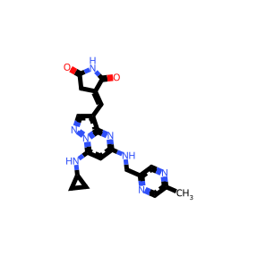 Cc1cnc(CNc2cc(NC3CC3)n3ncc(C=C4CC(=O)NC4=O)c3n2)cn1